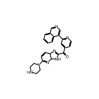 O=C(C1=NC2C=CC(N3CCNCC3)=NC2N1)c1ccnc(-c2cncc3ccccc23)c1